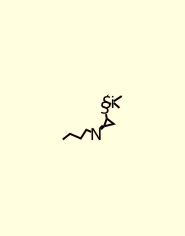 CCCCN=C1CC1S[Si](C)(C)C